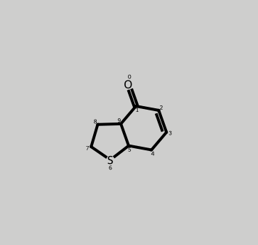 O=C1C=CCC2SCCC12